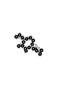 CC1(C)c2cc(N(c3ccc(-c4cccc(-c5cccc(-c6ccc(N(c7ccc(-c8cccc9c8oc8ccccc89)cc7)c7ccc(-c8cccc9c8oc8ccccc89)cc7)cc6)c5)c4)cc3)c3ccc(-c4cccc5ccccc45)cc3)ccc2-c2ccc(-n3c4ccccc4c4ccccc43)cc21